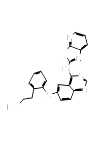 OCCc1ccccc1Sc1ccc2ncnc(Nc3nc4cccnc4s3)c2c1